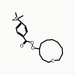 C[Si](C)(C)c1ccc(C(=O)OO[C]2CCCCCCCCCCC2)cc1